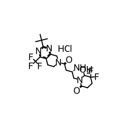 CC(C)(C)c1nc2c(c(C(F)(F)F)n1)CCN(C(=O)C[C@H](N)CN1C(=O)CCC(F)(F)C1O)C2.Cl